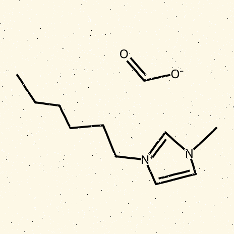 CCCCCC[n+]1ccn(C)c1.O=C[O-]